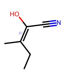 CC/C(C)=C(/O)C#N